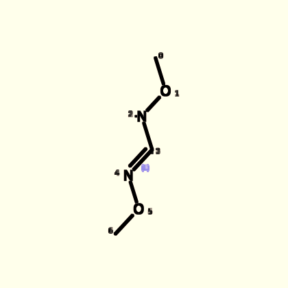 CO[N]/[C]=N/OC